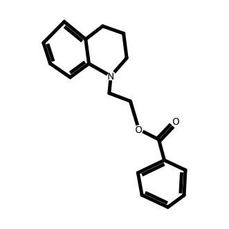 O=C(OCCN1CCCc2ccccc21)c1ccccc1